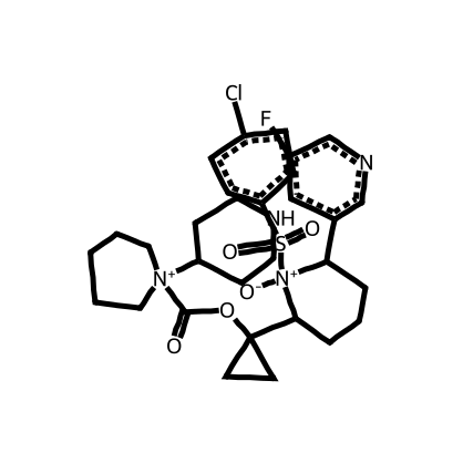 O=C(OC1(C2CCCC(c3cncc(F)c3)[N+]2([O-])S(=O)(=O)c2ccc(Cl)cc2)CC1)[N+]1(C2CCNCC2)CCCCC1